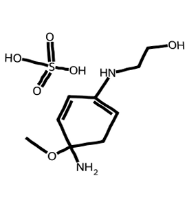 COC1(N)C=CC(NCCO)=CC1.O=S(=O)(O)O